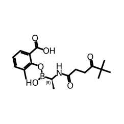 Cc1cccc(C(=O)O)c1OB(O)[C@H](C)NC(=O)CCC(=O)C(C)(C)C